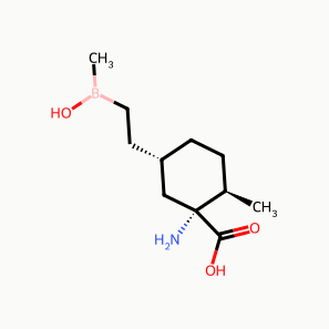 CB(O)CC[C@@H]1CC[C@@H](C)[C@@](N)(C(=O)O)C1